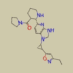 CCc1cc(C2CC2N2CNc3nc(C4NCCCC4C(=O)N4CCCC4)ccc32)on1